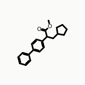 COC(=O)C(CC1CCCC1)c1ccc(-c2ccccc2)cc1